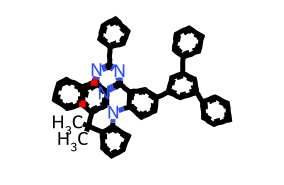 CC1(C)c2ccccc2N(c2ccc(-c3cc(-c4ccccc4)cc(-c4ccccc4)c3)cc2-c2nc(-c3ccccc3)nc(-c3ccccc3)n2)c2ccccc21